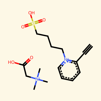 C#Cc1cccc[n+]1CCCCS(=O)(=O)O.C[N+](C)(C)CC(=O)O